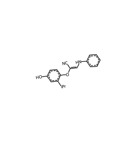 CC(C)c1cc(O)ccc1O/C(C#N)=C/Nc1ccccc1